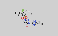 Cc1cnc(CNC(=O)c2ccn(S(=O)(=O)c3cc(C)c(F)c(C)c3)c2)cn1